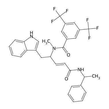 CC(NC(=O)C=CC(Cc1c[nH]c2ccccc12)N(C)C(=O)c1cc(C(F)(F)F)cc(C(F)(F)F)c1)c1ccccc1